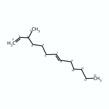 C=CC(C)CCCC=CCCCCC